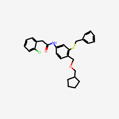 O=C(Cc1ccccc1Cl)Nc1ccc(COCC2CCCC2)c(SCc2ccccc2)c1